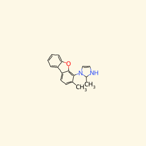 Cc1ccc2c(oc3ccccc32)c1N1C=CNC1C